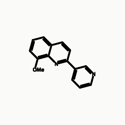 COc1cccc2ccc(-c3cccnc3)nc12